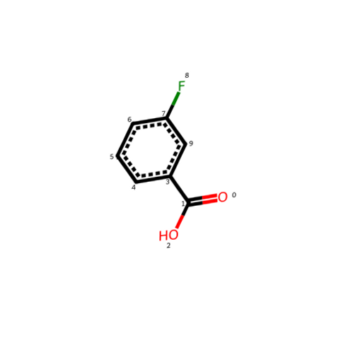 O=C(O)c1c[c]cc(F)c1